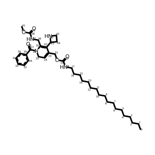 CCCCCCCCCCCCCCCCCCNC(=O)OCC1=CCN(C(=O)c2ccccc2)C(CNC(=O)OC)=C1C1CCN1